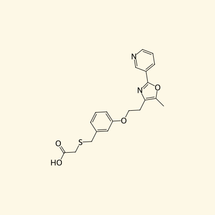 Cc1oc(-c2cccnc2)nc1CCOc1cccc(CSCC(=O)O)c1